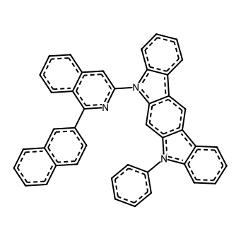 c1ccc(-n2c3ccccc3c3cc4c5ccccc5n(-c5cc6ccccc6c(-c6ccc7ccccc7c6)n5)c4cc32)cc1